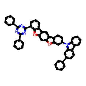 c1ccc(-c2ccc3c4ccccc4n(-c4ccc5c(c4)oc4cc6oc7c(-c8nc(-c9ccccc9)nc(-c9ccccc9)n8)cccc7c6cc45)c3c2)cc1